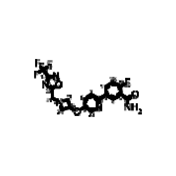 NC(=O)c1cc(-c2ccc(OC3CN(Cc4nc(C(F)(F)F)no4)C3)cn2)ccc1F